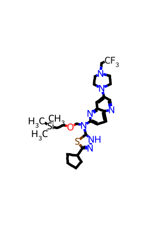 C[Si](C)(C)CCOCN(c1ccc2ncc(N3CCN(CC(F)(F)F)CC3)cc2n1)C1NN=C(C2CCCC2)S1